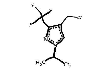 CC(C)n1cc(CCl)c(C(F)(F)F)n1